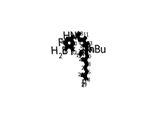 Bc1c(F)cc(NC(=C)/C=C(\C)C(C)(C)N(CCCC)N(C=C)C/C(C)=C/CC/C(C)=C/F)cc1F